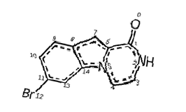 O=c1[nH]ccn2c1cc1ccc(Br)cc12